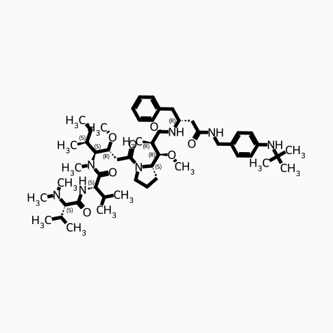 CC[C@H](C)[C@@H]([C@@H](CC(=O)N1CCC[C@H]1[C@H](OC)[C@@H](C)C(=O)N[C@@H](CC(=O)NCc1ccc(NC(C)(C)C)cc1)Cc1ccccc1)OC)N(C)C(=O)[C@@H](NC(=O)[C@H](C(C)C)N(C)C)C(C)C